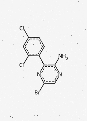 Nc1ncc(Br)nc1-c1ccc(Cl)cc1Cl